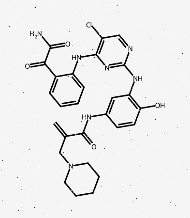 C=C(CN1CCCCC1)C(=O)Nc1ccc(O)c(Nc2ncc(Cl)c(Nc3ccccc3C(=O)C(N)=O)n2)c1